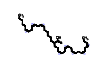 CC/C=C\C/C=C\C/C=C\C/C=C\C/C=C\CCC(CCCCC/C=C\C/C=C\C/C=C\CCCCC)C(=O)O